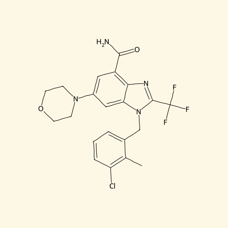 Cc1c(Cl)cccc1Cn1c(C(F)(F)F)nc2c(C(N)=O)cc(N3CCOCC3)cc21